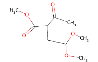 COC(=O)C(CC(OC)OC)C(C)=O